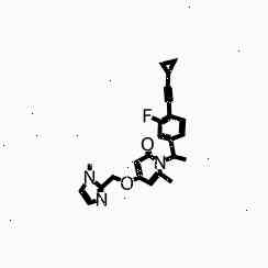 Cc1cc(OCc2nccn2C)cc(=O)n1C(C)c1ccc(C#CC2CC2)c(F)c1